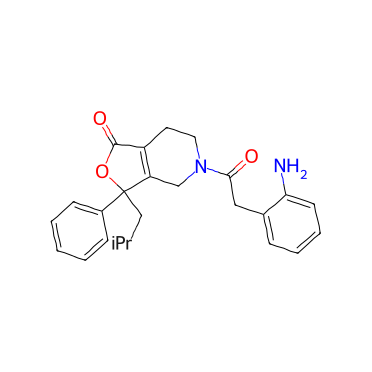 CC(C)CC1(c2ccccc2)OC(=O)C2=C1CN(C(=O)Cc1ccccc1N)CC2